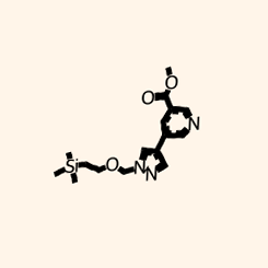 COC(=O)c1cncc(-c2cnn(COCC[Si](C)(C)C)c2)c1